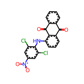 O=C1c2ccccc2C(=O)c2c(Nc3c(Cl)cc([N+](=O)[O-])cc3Cl)cccc21